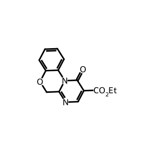 CCOC(=O)c1cnc2n(c1=O)-c1ccccc1OC2